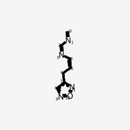 C=N/C=N\C=C/Cc1cnon1